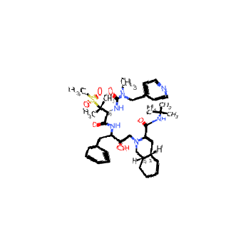 CN(Cc1ccncc1)C(=O)N[C@H](C(=O)NC(Cc1ccccc1)C(O)CN1C[C@H]2CCCC[C@H]2CC1C(=O)NC(C)(C)C)C(C)(C)S(C)(=O)=O